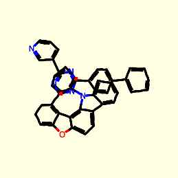 C1=c2oc3ccc4c5ccccc5n(-c5ccccc5)c4c3c2=C(c2nc(-c3ccc(-c4ccccc4)cc3)nc(-c3cccnc3)n2)CC1